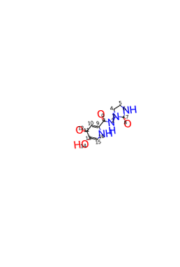 O=C(NN1CCNC1=O)c1cc(=O)c(O)c[nH]1